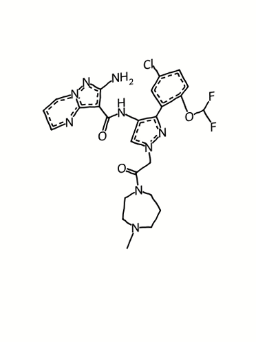 CN1CCCN(C(=O)Cn2cc(NC(=O)c3c(N)nn4cccnc34)c(-c3cc(Cl)ccc3OC(F)F)n2)CC1